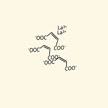 O=C([O-])/C=C\C(=O)[O-].O=C([O-])/C=C\C(=O)[O-].O=C([O-])/C=C\C(=O)[O-].[La+3].[La+3]